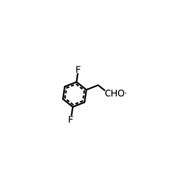 O=[C]Cc1cc(F)ccc1F